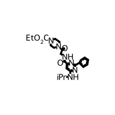 CCOC(=O)N1CCN(C(=O)CNC(=O)c2cc(NC(C)C)nc(-c3ccccc3)n2)CC1